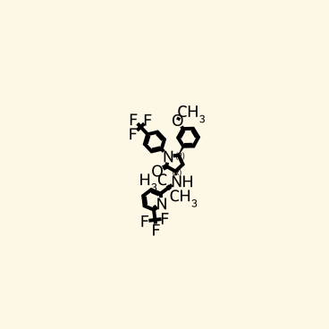 COc1cccc([C@H]2C[C@@H](NC(C)(C)c3cccc(C(F)(F)F)n3)C(=O)N2c2ccc(C(F)(F)F)cc2)c1